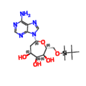 CC(C)(C)[Si](C)(C)OC[C@H]1O[C@@H](n2cnc3c(N)ncnc32)C[C@H](O)[C@H](O)[C@@H]1O